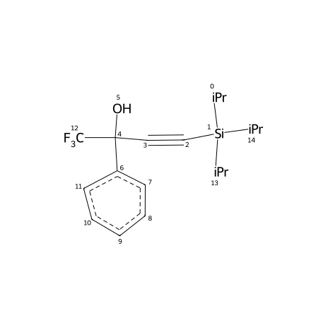 CC(C)[Si](C#CC(O)(c1ccccc1)C(F)(F)F)(C(C)C)C(C)C